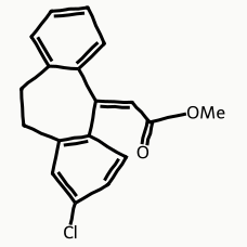 COC(=O)C=C1c2ccccc2CCc2cc(Cl)ccc21